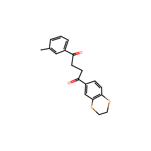 Cc1cccc(C(=O)CCC(=O)c2ccc3c(c2)SCCS3)c1